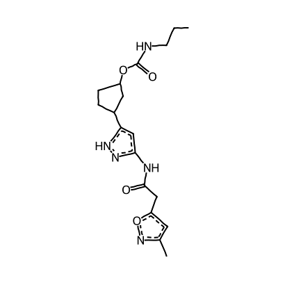 CCCNC(=O)OC1CCC(c2cc(NC(=O)Cc3cc(C)no3)n[nH]2)C1